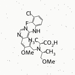 COC[C@H](C)N(Cc1cc2c(Nc3cccc(Cl)c3F)ncnc2cc1OC)[C@@H](C)C(=O)O